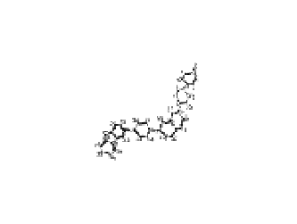 Ic1ccc(-c2ccc(-c3ccc4ccc(-c5ccc(-c6ccc7sc8ccccc8c7c6)cc5)cc4c3)cc2)cc1